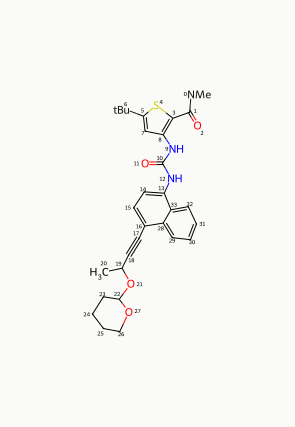 CNC(=O)c1sc(C(C)(C)C)cc1NC(=O)Nc1ccc(C#CC(C)OC2CCCCO2)c2ccccc12